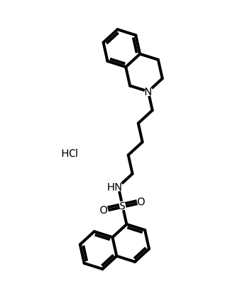 Cl.O=S(=O)(NCCCCCN1CCc2ccccc2C1)c1cccc2ccccc12